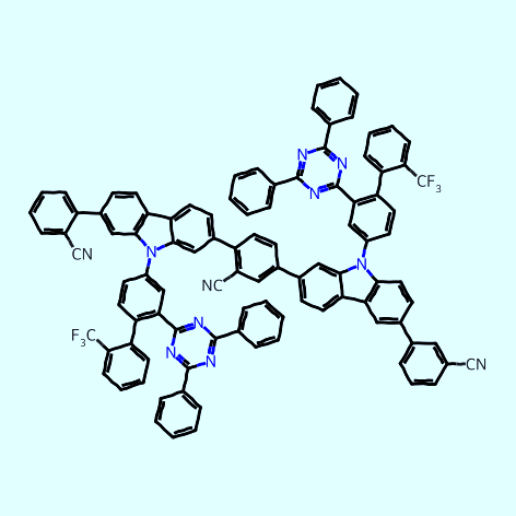 N#Cc1cccc(-c2ccc3c(c2)c2ccc(-c4ccc(-c5ccc6c7ccc(-c8ccccc8C#N)cc7n(-c7ccc(-c8ccccc8C(F)(F)F)c(-c8nc(-c9ccccc9)nc(-c9ccccc9)n8)c7)c6c5)c(C#N)c4)cc2n3-c2ccc(-c3ccccc3C(F)(F)F)c(-c3nc(-c4ccccc4)nc(-c4ccccc4)n3)c2)c1